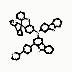 c1ccc(-c2ccc(-c3cc(N(c4ccc5c(c4)Sc4ccccc4C54c5ccccc5-c5ccccc54)c4ccc5c(c4)sc4ccccc45)cc4c3oc3ccccc34)cc2)cc1